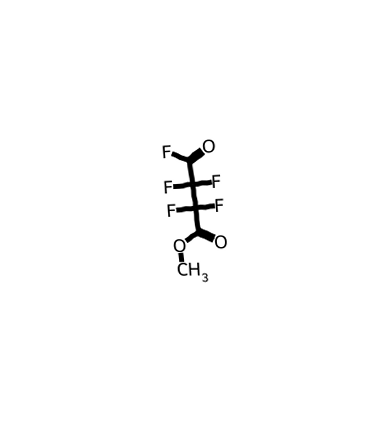 COC(=O)C(F)(F)C(F)(F)C(=O)F